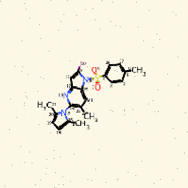 Cc1ccc(S(=O)(=O)n2c(I)cc3nc(-n4c(C)ccc4C)c(C)cc32)cc1